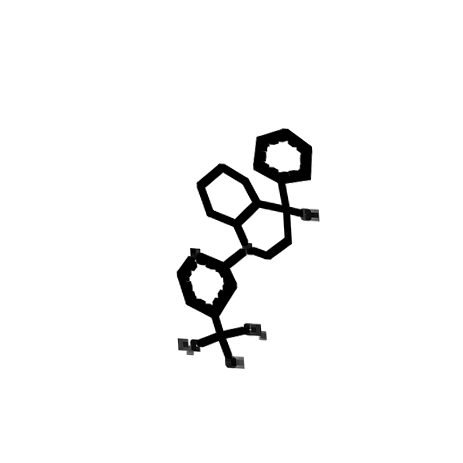 CC(C)(O)c1ccnc(N2CCC(O)(c3ccccc3)C3CCCCC32)c1